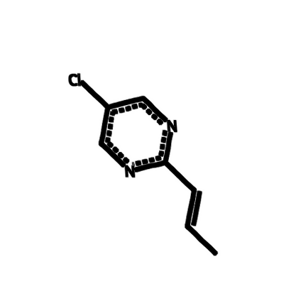 C/C=C/c1ncc(Cl)cn1